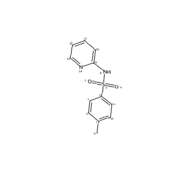 Cc1ccc(S(=O)(=O)Nc2cc[c]cn2)cc1